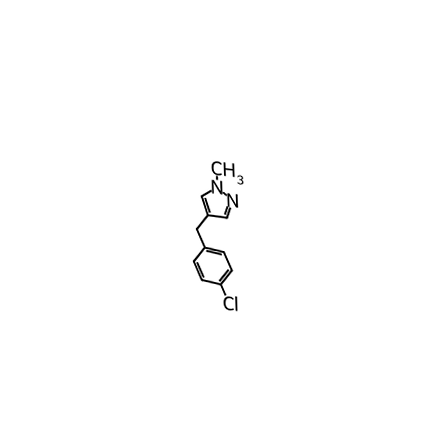 Cn1cc(Cc2ccc(Cl)cc2)cn1